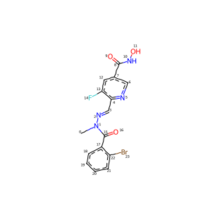 CN(N=Cc1ncc(C(=O)NO)cc1F)C(=O)c1ccccc1Br